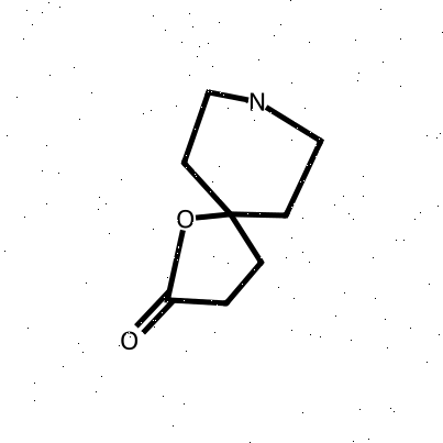 O=C1CCC2(CC[N]CC2)O1